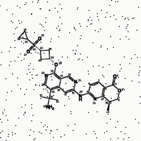 C[C@@H]1COC(=O)c2ccc(Nc3cc4c(C(C)(C)N)cnc(O[C@H]5C[C@@H](S(=O)(=O)C6CC6)C5)c4cn3)nc21